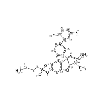 COCCS(=O)(=O)Oc1ccc(C2(c3cccc(-c4cc(Cl)cnc4F)c3)N=C(N)N(C)C2=O)cc1